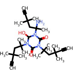 C#CC(C)(C)CC(C)(C)N1C(=O)N(C(C)(C)CC(C)(C)C#C)C(O)N(C(C)(N)CC(C)(C)C#C)C1=O